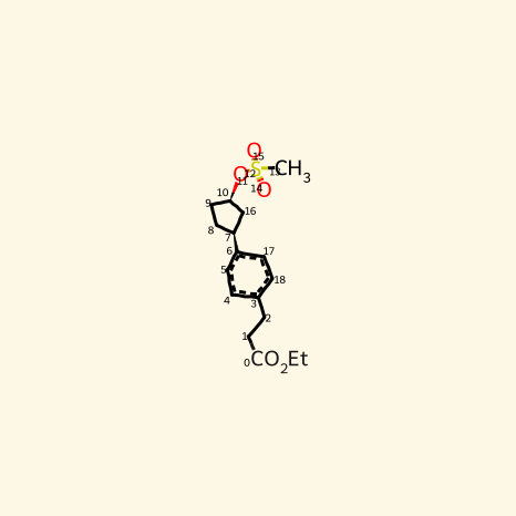 CCOC(=O)CCc1ccc([C@H]2CC[C@@H](OS(C)(=O)=O)C2)cc1